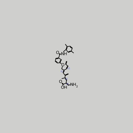 C=C/C=C\C(=C/C(=C)/C(C)=C/C(=C\N)C(=O)O)COc1cccc(C(=O)NCc2cc(C)ccc2C)c1